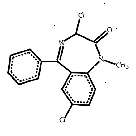 CN1C(=O)C(Cl)N=C(c2ccccc2)c2cc(Cl)ccc21